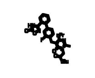 CCCc1nc(C)n(CC(=O)C(C)(C)C)c(=O)c1Cc1ccc(-c2ccccc2-c2noc(=O)[nH]2)cc1F